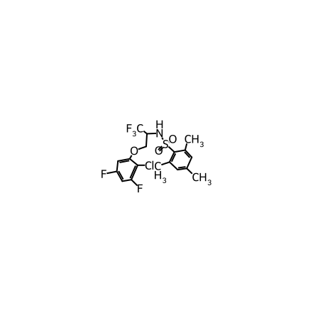 Cc1cc(C)c(S(=O)(=O)NC(COc2cc(F)cc(F)c2Cl)C(F)(F)F)c(C)c1